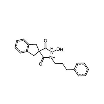 O=C(NO)C1(C(=O)NCCCc2ccccc2)Cc2ccccc2C1